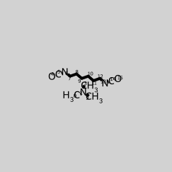 CN(C)C.O=C=NCCCCCCN=C=O